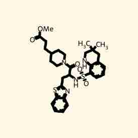 COC(=O)CCC1CCN(C(=O)C(Cc2nc3ccccc3s2)NS(=O)(=O)c2cccc3c2NCC(C)(C)C3)CC1